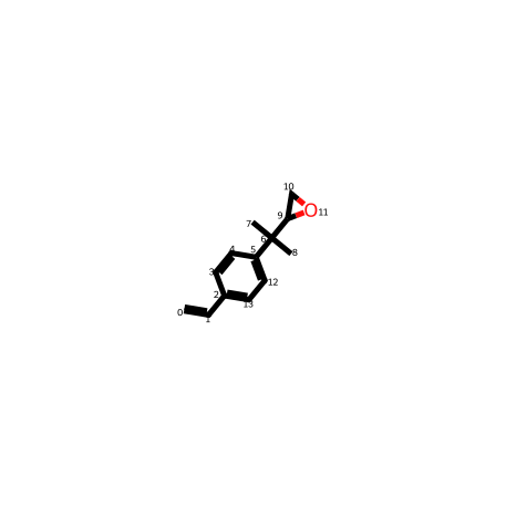 C=Cc1ccc(C(C)(C)C2CO2)cc1